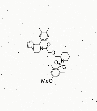 COc1cc(C)c(S(=O)(=O)N2CCCCC2COCC(=O)N2CCn3cccc3C2c2ccc(C)c(C)c2)c(C)c1